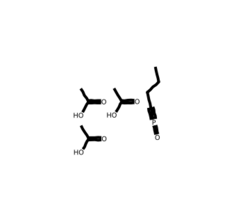 CC(=O)O.CC(=O)O.CC(=O)O.CCCC#P=O